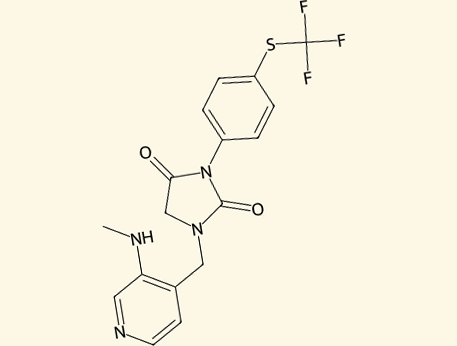 CNc1cnccc1CN1CC(=O)N(c2ccc(SC(F)(F)F)cc2)C1=O